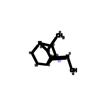 CC1/C(=N/O)C2CCN1CC2